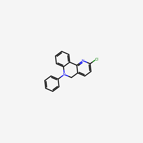 Clc1ccc2c(n1)-c1ccccc1N(c1ccccc1)C2